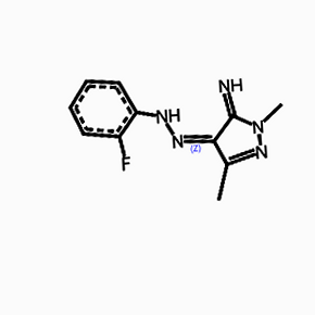 CC1=NN(C)C(=N)/C1=N\Nc1ccccc1F